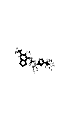 Cc1c(C(F)(F)F)nc2c(c1NC(=O)N=[S@@](N)(=O)c1cc(C(C)(C)O)cs1)CCC2